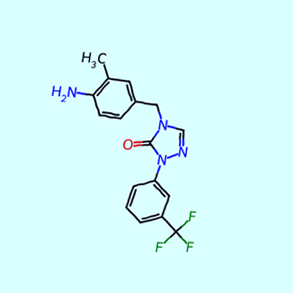 Cc1cc(Cn2cnn(-c3cccc(C(F)(F)F)c3)c2=O)ccc1N